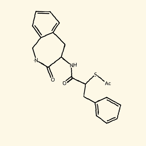 CC(=O)SC(Cc1ccccc1)C(=O)NC1Cc2ccccc2C[N]C1=O